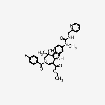 CCOC(=O)C1=CN(C(=O)c2ccc(F)cc2)CC(C)(C)c2c1[nH]c1cc(N(C)C(=O)NCc3ccccn3)ccc21